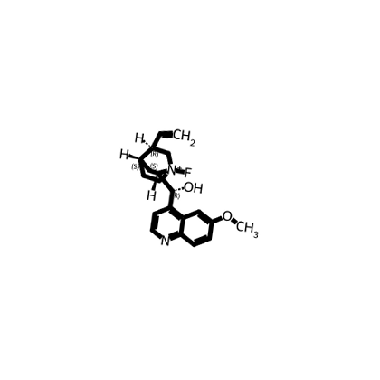 C=C[C@H]1C[N+]2(F)CC[C@H]1C[C@H]2[C@H](O)c1ccnc2ccc(OC)cc12